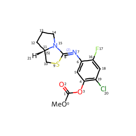 COC(=O)Oc1cc(/N=C2\SC[C@@H]3CCCN23)c(F)cc1Cl